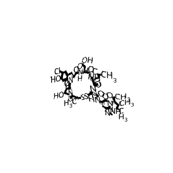 CCC(C)[C@H](NC(=O)[C@H](Cc1c[nH]cn1)NC(=O)[C@@H]1CSSC[C@H](C)C(=O)N2CC(O)C[C@H]2C(=O)N[C@@H](Cc2ccc(O)c(Cl)c2)C(=O)N[C@@H](CC(=O)O)C(=O)N[C@@H](CC(C)C)C(=O)N1)C(C)=O